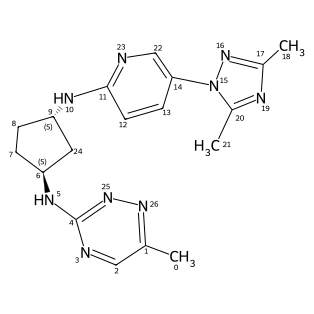 Cc1cnc(N[C@H]2CC[C@H](Nc3ccc(-n4nc(C)nc4C)cn3)C2)nn1